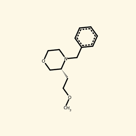 COCC[C@@H]1COCCN1Cc1ccccc1